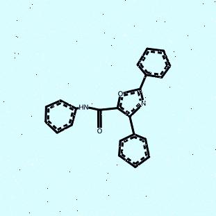 O=C(Nc1ccccc1)c1oc(-c2ccccc2)nc1-c1ccccc1